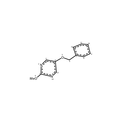 COc1ncc(OCc2ccccc2)cn1